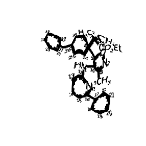 CCOC(=O)C(C)(C)C1(c2onc(C)c2Nc2cccc(-c3ccccc3)n2)C=CC(c2ccccc2)C=C1